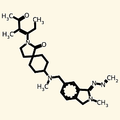 C=N/N=C1/c2cc(CN(C)C3CCC4(CC3)CCN(/C(CC)=C(\C)C(C)=O)C4=O)ccc2CN1C